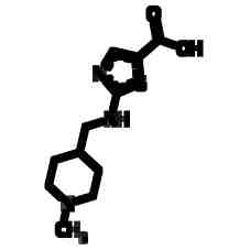 CN1CCC(CNc2ncc(C(=O)O)s2)CC1